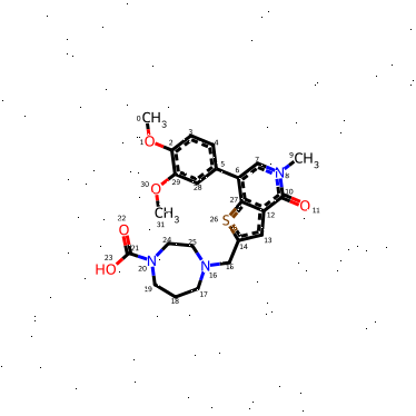 COc1ccc(-c2cn(C)c(=O)c3cc(CN4CCCN(C(=O)O)CC4)sc23)cc1OC